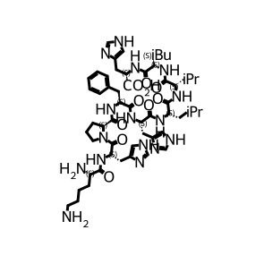 CC[C@H](C)[C@H](NC(=O)[C@@H](NC(=O)[C@H](CC(C)C)NC(=O)[C@H](Cc1c[nH]cn1)NC(=O)[C@H](Cc1ccccc1)NC(=O)[C@@H]1CCCN1C(=O)[C@H](Cc1c[nH]cn1)NC(=O)[C@@H](N)CCCCN)C(C)C)C(=O)N[C@@H](Cc1c[nH]cn1)C(=O)O